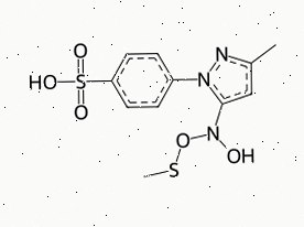 CSON(O)c1cc(C)nn1-c1ccc(S(=O)(=O)O)cc1